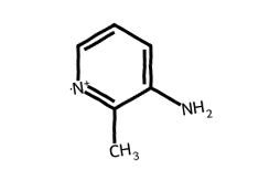 CC1=[N+]C=CC=C1N